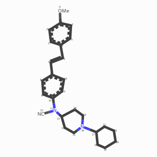 COc1ccc(/C=C/c2ccc(N(C#N)C3CCN(C4CCCCC4)CC3)cc2)cc1